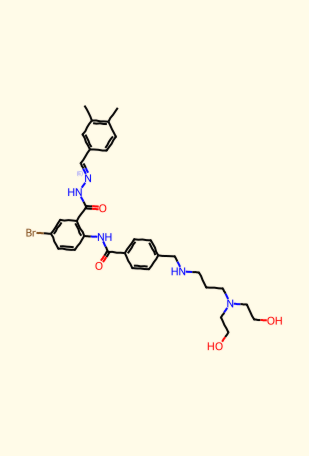 Cc1ccc(/C=N/NC(=O)c2cc(Br)ccc2NC(=O)c2ccc(CNCCCN(CCO)CCO)cc2)cc1C